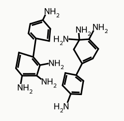 NC1=CC=C(c2ccc(N)cc2)CC1(N)N.Nc1ccc(-c2ccc(N)c(N)c2N)cc1